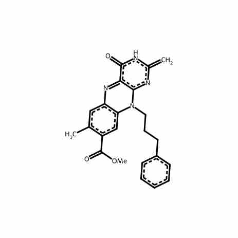 C=c1nc2c(c(=O)[nH]1)=Nc1cc(C)c(C(=O)OC)cc1N2CCCc1ccccc1